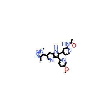 COc1ccc(-c2c(-c3ccnc(NC(C)=O)c3)[nH]c3cc(-c4c(C)nnn4C)cnc23)nc1